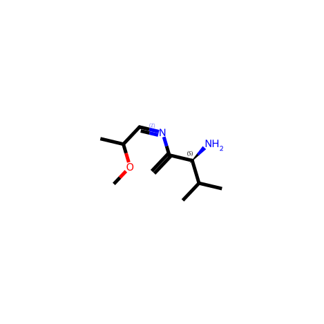 C=C(/N=C\C(C)OC)[C@@H](N)C(C)C